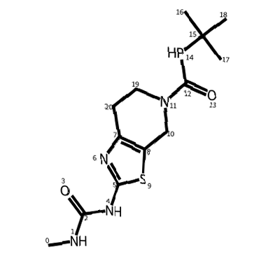 CNC(=O)Nc1nc2c(s1)CN(C(=O)PC(C)(C)C)CC2